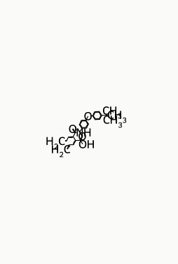 C=C/C=C(C(=O)O)\C(=C/C=C)C(=O)Nc1ccc(Oc2ccc(C(C)(C)C)cc2)cc1